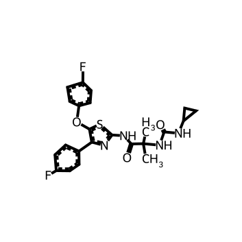 CC(C)(NC(=O)NC1CC1)C(=O)Nc1nc(-c2ccc(F)cc2)c(Oc2ccc(F)cc2)s1